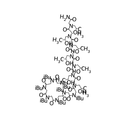 CCC(C)NCC(=O)N(CC(=O)N(CC(=O)N(CC(=O)N(CC(=O)N(CC(=O)N(CC(=O)N(CC(=O)N(CC(=O)N(CC(=O)N(CC(=O)N(CC(=O)N(CC(=O)N(CC(N)=O)CC(C)O)CC(C)O)CC(C)O)CC(C)O)CC(C)O)CC(C)O)CC(C)O)C(C)CC)C(C)CC)C(C)CC)C(C)CC)C(C)CC)C(C)CC